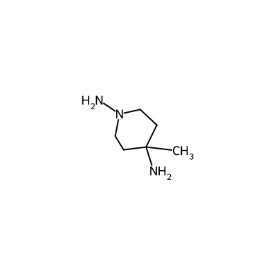 CC1(N)CCN(N)CC1